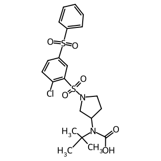 CC(C)(C)N(C(=O)O)C1CCN(S(=O)(=O)c2cc(S(=O)(=O)c3ccccc3)ccc2Cl)C1